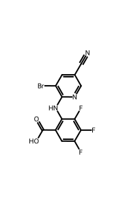 N#Cc1cnc(Nc2c(C(=O)O)cc(F)c(F)c2F)c(Br)c1